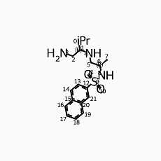 CC(C)[C@H](CN)NC[C@@H](C)NS(=O)(=O)c1ccc2ccccc2c1